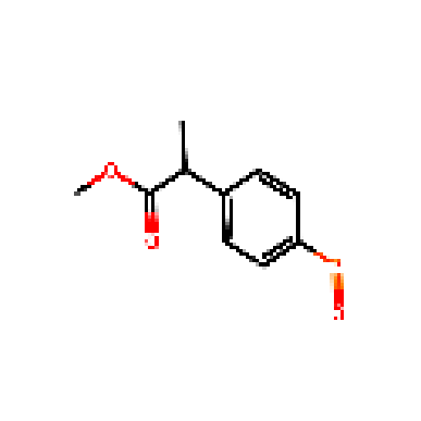 COC(=O)C(C)c1ccc(P=O)cc1